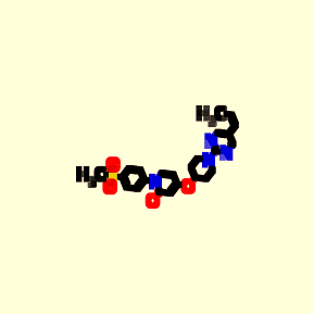 C/C=C\c1cnc(N2CCC(Oc3ccn(-c4ccc(S(C)(=O)=O)cc4)c(=O)c3)CC2)nc1